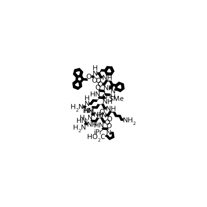 CSCC[C@H](NC(=O)[C@H](Cc1c[nH]c2ccccc12)NC(=O)[C@H](Cc1ccccc1)NC(=O)OCC1c2ccccc2-c2ccccc21)C(=O)N[C@@H](CCCNC(=N)N)C(=O)N[C@@H](CCCNC(=N)N)C(=O)N[C@@H](CCCCN)C(=O)N[C@@H](CCCNC(=N)N)C(=O)N[C@H](C(=O)N1CCC[C@H]1C(=O)O)C(C)C